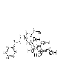 CCCCN(CCCc1ccccc1)C[C@H](O)[C@@H](O)[C@H](O)[C@H](O)CO